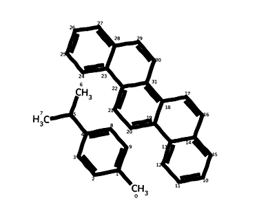 Cc1ccc(C(C)C)cc1.c1ccc2c(c1)ccc1c2ccc2c3ccccc3ccc21